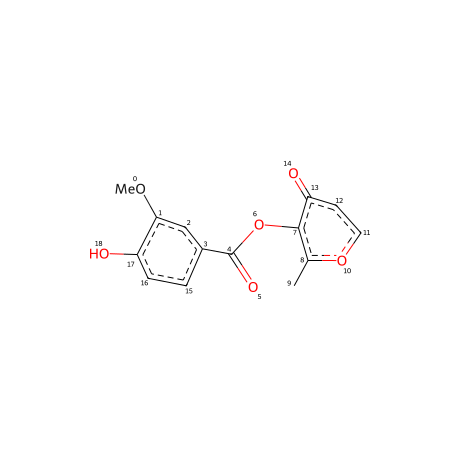 COc1cc(C(=O)Oc2c(C)occc2=O)ccc1O